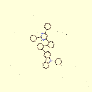 c1ccc(-c2cc(-c3ccccc3-c3ccccc3-c3ccc4c(c3)c3ccccc3n4-c3ccccc3)nc(-c3ccccc3)n2)cc1